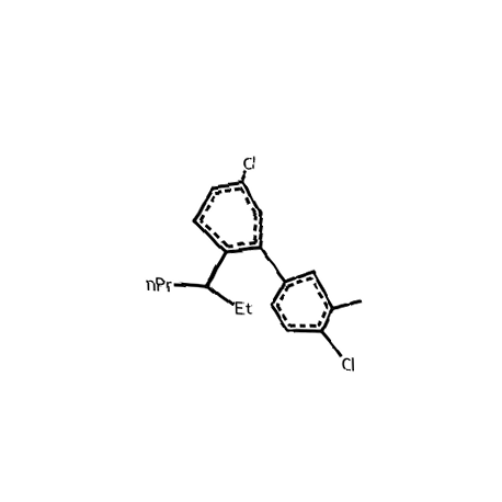 CCCC(CC)c1ccc(Cl)cc1-c1ccc(Cl)c(C)c1